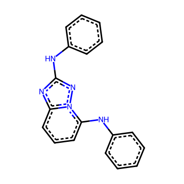 c1ccc(Nc2nc3cccc(Nc4ccccc4)n3n2)cc1